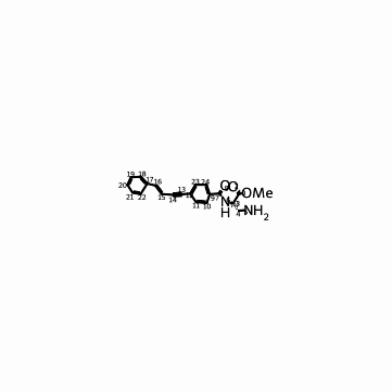 COC(=O)[C@H](CN)NC(=O)c1ccc(C#CC=Cc2ccccc2)cc1